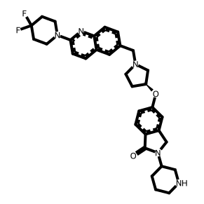 O=C1c2ccc(O[C@H]3CCN(Cc4ccc5nc(N6CCC(F)(F)CC6)ccc5c4)C3)cc2CN1C1CCCNC1